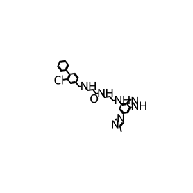 Cc1cn(-c2cc(NCCCNC(=O)CCNCc3ccc(-c4ccccc4)c(Cl)c3)c3cn[nH]c3c2)cn1